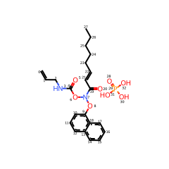 C=CCNC(=O)ON(Oc1cccc2ccccc12)C(=O)C=CCCCCC.O=P(O)(O)O